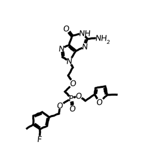 Cc1ccc(COP(=O)(COCCn2cnc3c(=O)[nH]c(N)nc32)OCc2ccc(C)c(F)c2)o1